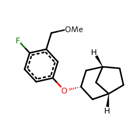 COCc1cc(O[C@@H]2C[C@@H]3CC[C@@H](C3)C2)ccc1F